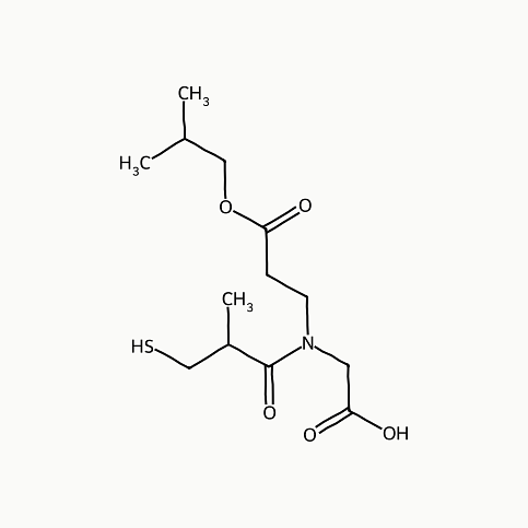 CC(C)COC(=O)CCN(CC(=O)O)C(=O)C(C)CS